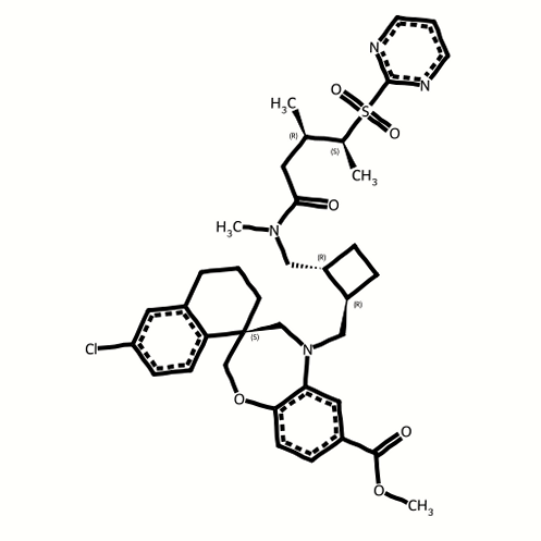 COC(=O)c1ccc2c(c1)N(C[C@@H]1CC[C@H]1CN(C)C(=O)C[C@@H](C)[C@H](C)S(=O)(=O)c1ncccn1)C[C@@]1(CCCc3cc(Cl)ccc31)CO2